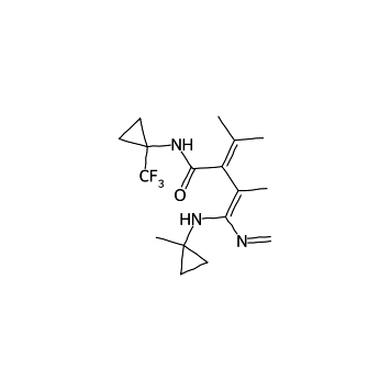 C=N/C(NC1(C)CC1)=C(\C)C(C(=O)NC1(C(F)(F)F)CC1)=C(C)C